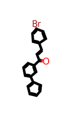 O=C(C=Cc1ccc(Br)cc1)c1cccc(-c2ccccc2)c1